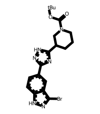 CC(C)(C)OC(=O)N1CCCC(c2nc(-c3ccc4[nH]nc(Br)c4c3)n[nH]2)C1